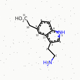 NCCc1c[nH]c2ccc(CC(=O)O)cc12